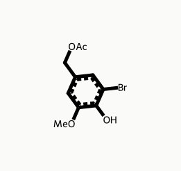 COc1cc(COC(C)=O)cc(Br)c1O